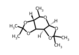 CC1O[C@H]2OC(C)(C)O[C@H]2C2OC(C)(C)O[C@H]12